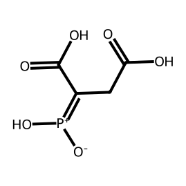 O=C(O)C/C(C(=O)O)=[P+](\[O-])O